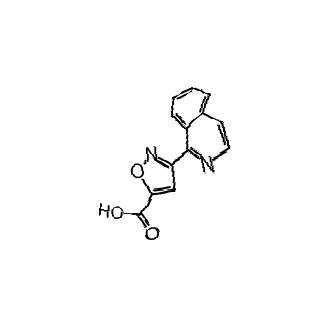 O=C(O)c1cc(-c2nccc3ccccc23)no1